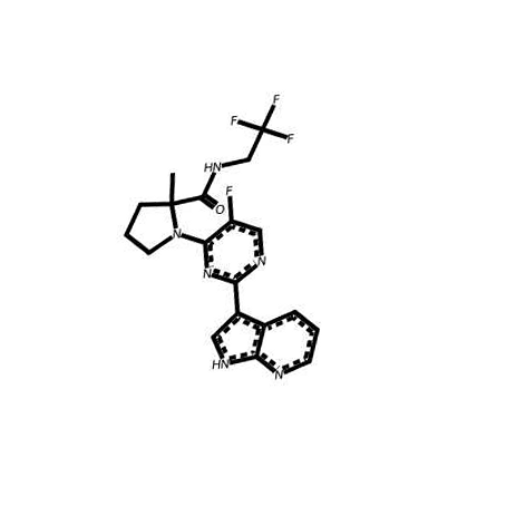 CC1(C(=O)NCC(F)(F)F)CCCN1c1nc(-c2c[nH]c3ncccc23)ncc1F